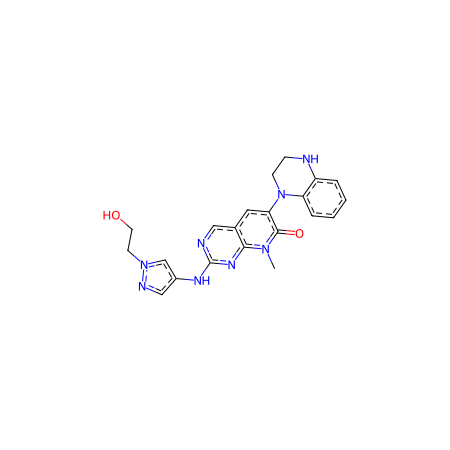 Cn1c(=O)c(N2CCNc3ccccc32)cc2cnc(Nc3cnn(CCO)c3)nc21